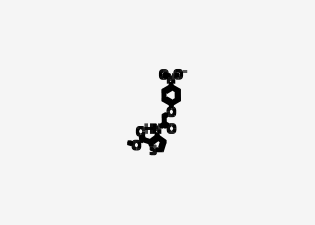 COC(=O)c1sccc1NC(=O)COc1ccc([N+](=O)[O-])cc1